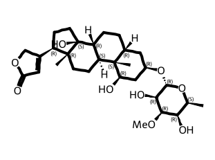 CO[C@H]1[C@@H](O)[C@H](O[C@@H]2C[C@H]3CC[C@@H]4[C@H](CC[C@]5(C)[C@@H](C6=CC(=O)OC6)CC[C@]45O)[C@@]3(C)[C@H](O)C2)O[C@@H](C)[C@H]1O